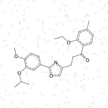 CCOc1cc(C)ccc1C(=O)CCc1coc(-c2ccc(OC)c(OC(C)C)c2)n1